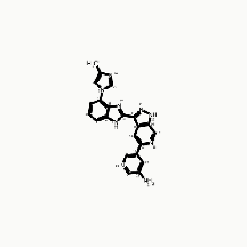 Cc1cn(-c2cccc3[nH]c(-c4n[nH]c5cnc(-c6cncc(N)c6)cc45)nc23)cn1